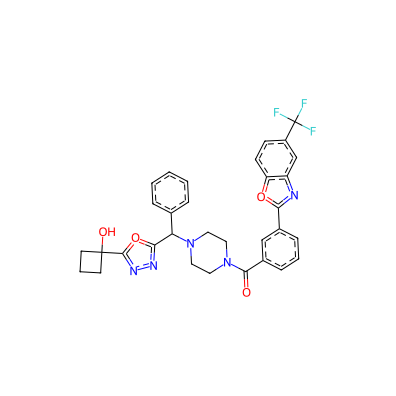 O=C(c1cccc(-c2nc3cc(C(F)(F)F)ccc3o2)c1)N1CCN(C(c2ccccc2)c2nnc(C3(O)CCC3)o2)CC1